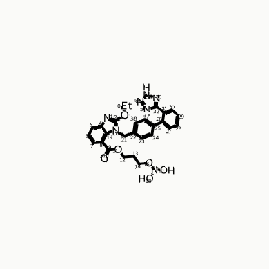 CCOc1nc2cccc(C(=O)OCCCON(O)O)c2n1Cc1ccc(-c2ccccc2-c2nn[nH]n2)cc1